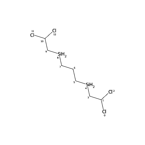 ClC(Cl)C[SiH2]CCC[SiH2]CC(Cl)Cl